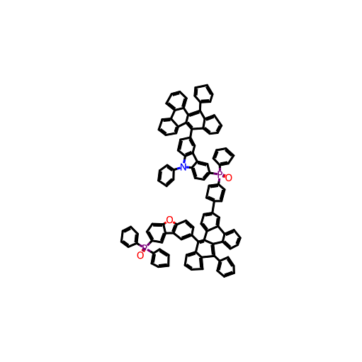 O=P(c1ccccc1)(c1ccccc1)c1ccc2oc3ccc(-c4c5ccccc5c(-c5ccccc5)c5c6ccccc6c6cc(-c7ccc(P(=O)(c8ccccc8)c8ccc9c(c8)c8cc(-c%10c%11ccccc%11c(-c%11ccccc%11)c%11c%12ccccc%12c%12ccccc%12c%10%11)ccc8n9-c8ccccc8)cc7)ccc6c45)cc3c2c1